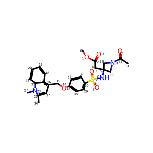 COC(=O)CC1(NS(=O)(=O)c2ccc(OCC3=C4C=CC=CC4N(C)C(C)=C3)cc2)CN(C(C)=O)C1